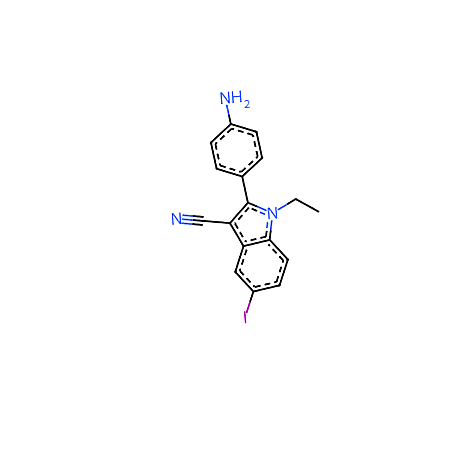 CCn1c(-c2ccc(N)cc2)c(C#N)c2cc(I)ccc21